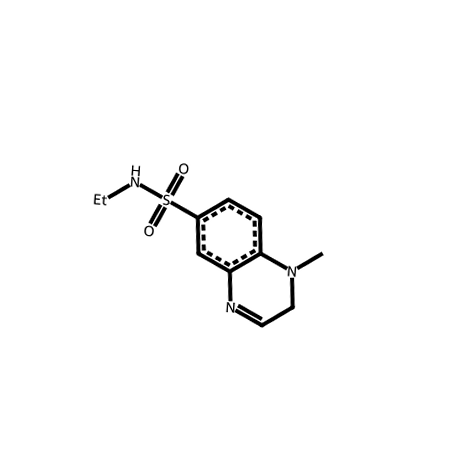 CCNS(=O)(=O)c1ccc2c(c1)N=CCN2C